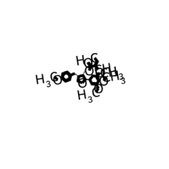 C/C=C(/C)C(=O)OC[C@H]1[C@@H](Cc2ccc(OC)cc2)CO[C@@H]1C1C=C(OC)C(OC)=C(OC)C1